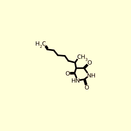 C=CCCCCC(C)C1C(=O)NC(=O)NC1=O